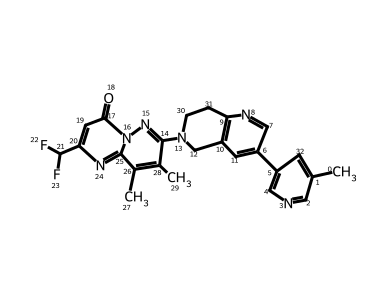 Cc1cncc(-c2cnc3c(c2)CN(c2nn4c(=O)cc(C(F)F)nc4c(C)c2C)CC3)c1